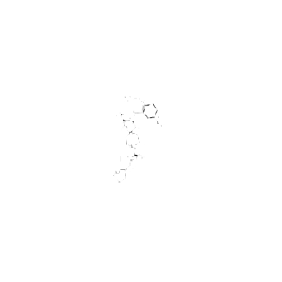 COc1ccc([N+](=O)[O-])cc1CN1CC2(CCN(C(=S)NCC3CCCO3)CC2)OC1=O